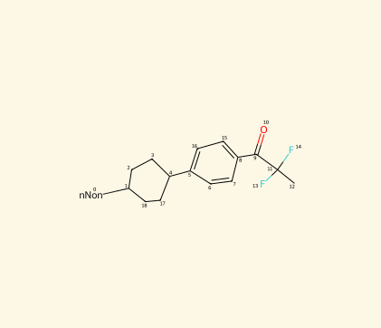 CCCCCCCCCC1CCC(c2ccc(C(=O)C(C)(F)F)cc2)CC1